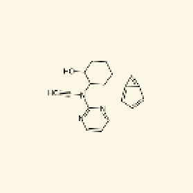 C#CN(c1ncccn1)C1CCCCC1O.c1cc2cc-2c1